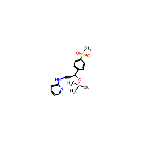 CC(C)(C)[Si](C)(C)OC(C#CNc1ccccn1)c1ccc(S(C)(=O)=O)cc1